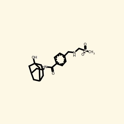 CS(=O)(=O)CNCc1ccc(C(=O)NC23CC4CC(CC(O)(C4)C2)C3)cc1